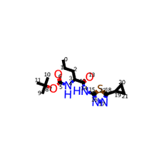 CCCC(NC(=O)OC(C)(C)C)C(=O)Nc1nnc(C2CC2)s1